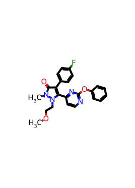 COCCn1c(-c2ccnc(Oc3ccccc3)n2)c(-c2ccc(F)cc2)c(=O)n1C